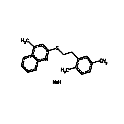 Cc1ccc(C)c(CCSc2cc(C)c3ccccc3n2)c1.[NaH]